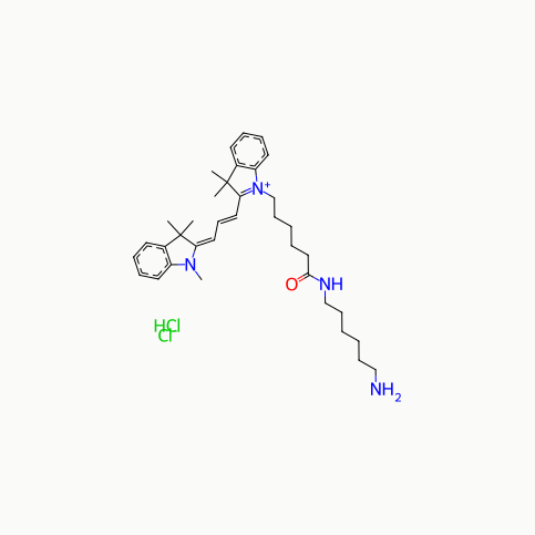 CN1/C(=C/C=C/C2=[N+](CCCCCC(=O)NCCCCCCN)c3ccccc3C2(C)C)C(C)(C)c2ccccc21.Cl.[Cl-]